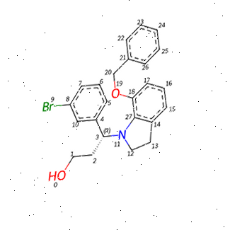 OCC[C@H](c1cccc(Br)c1)N1CCc2cccc(OCc3ccccc3)c21